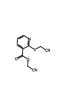 N#CCOC(=O)c1cccnc1SCC#N